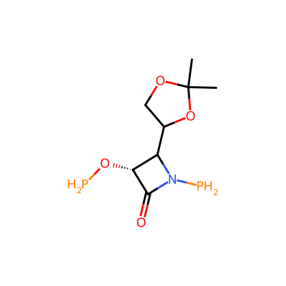 CC1(C)OCC(C2[C@@H](OP)C(=O)N2P)O1